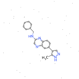 Cc1[nH]ncc1-c1ccc2nc(NCc3ccccc3)cnc2c1